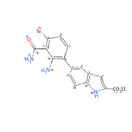 CCOC(=O)c1cc2cc(-c3ccc(Br)c(C(N)=O)c3N)ccc2[nH]1